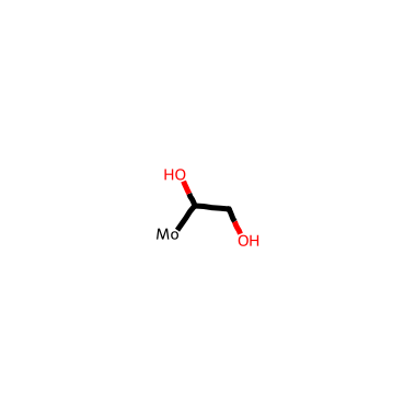 OC[CH](O)[Mo]